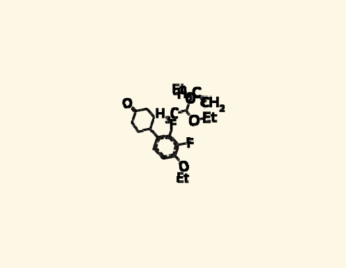 C=C.CCOC(C)OCC.CCOc1ccc(C2CCC(=O)CC2)c(F)c1F